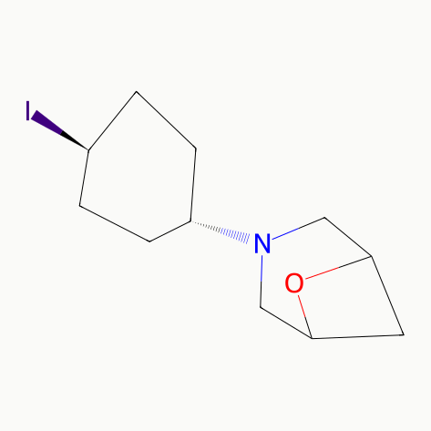 I[C@H]1CC[C@H](N2CC3CC(C2)O3)CC1